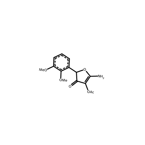 COc1cccc(C2OC(N)=C(OC(C)=O)C2=O)c1OC